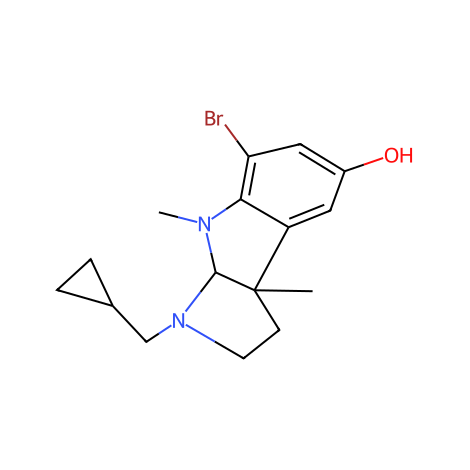 CN1c2c(Br)cc(O)cc2C2(C)CCN(CC3CC3)C12